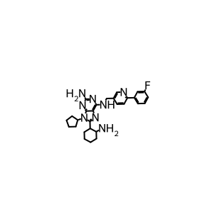 Nc1nc(NCc2ccc(-c3cccc(F)c3)nc2)c2nc(C3CCCCC3N)n(C3CCCC3)c2n1